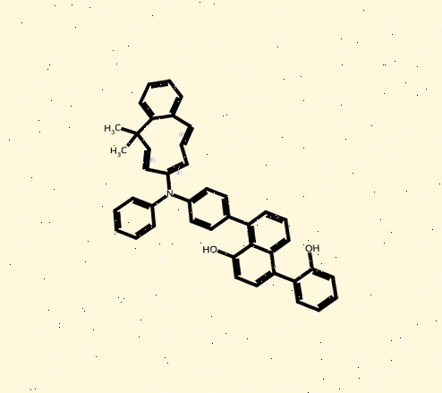 CC1(C)/C=C/C(N(c2ccccc2)c2ccc(-c3cccc4c(-c5ccccc5O)ccc(O)c34)cc2)=C\C=C\c2ccccc21